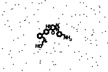 CN(CCO)Cc1ccccc1-c1ccc(C2NCc3ncn(-c4cccc(CN)c4)c3C2=O)cc1